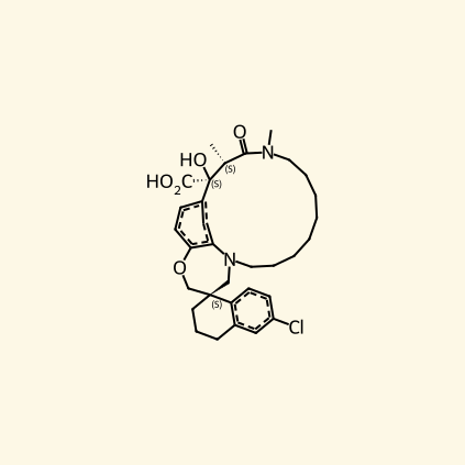 C[C@@H]1C(=O)N(C)CCCCCCCCN2C[C@@]3(CCCc4cc(Cl)ccc43)COc3ccc(cc32)[C@]1(O)C(=O)O